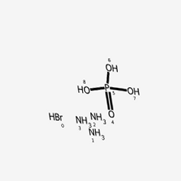 Br.N.N.N.O=P(O)(O)O